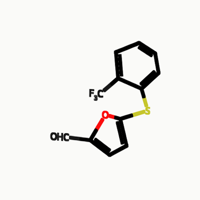 O=Cc1ccc(Sc2ccccc2C(F)(F)F)o1